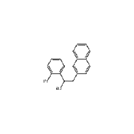 CCC(C)[C](Cc1ccc2ccccc2c1)c1ccccc1C(C)C